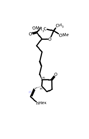 CCCCCC/C=C\[C@H]1CCC(=O)[C@@H]1CCCCCC(OC(C)(C)OC)C(=O)OC